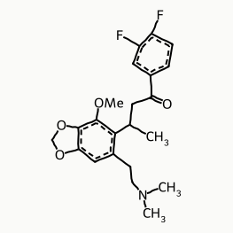 COc1c2c(cc(CCN(C)C)c1C(C)CC(=O)c1ccc(F)c(F)c1)OCO2